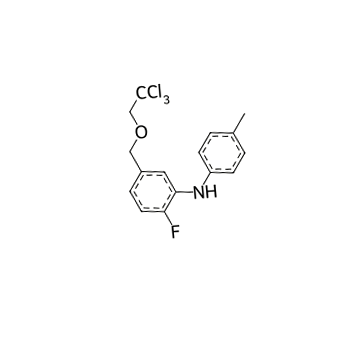 Cc1ccc(Nc2cc(COCC(Cl)(Cl)Cl)ccc2F)cc1